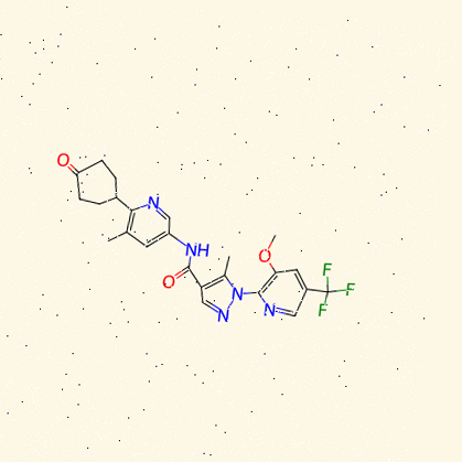 COc1cc(C(F)(F)F)cnc1-n1ncc(C(=O)Nc2cnc(C3CCC(=O)CC3)c(C)c2)c1C